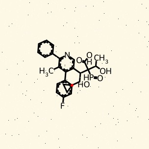 Cc1c(-c2ccccc2)ncc(C(CC2CC2)C(C(=O)O)(C(C)O)[PH](=O)O)c1-c1ccc(F)cc1